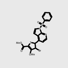 COC(=O)C1=C(OC)C(Br)C(c2ccnc3c2ccn3S(=O)(=O)c2ccccc2)S1